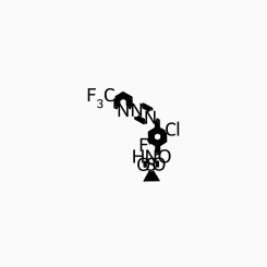 O=C(NS(=O)(=O)C1CC1)c1cc(Cl)c(CN2CCN(c3ccc(C(F)(F)F)cn3)CC2)cc1F